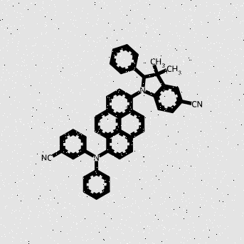 CC1(C)c2cc(C#N)ccc2N(c2ccc3ccc4c(N(c5ccccc5)c5cccc(C#N)c5)ccc5ccc2c3c54)C1c1ccccc1